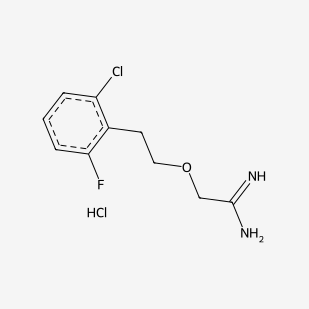 Cl.N=C(N)COCCc1c(F)cccc1Cl